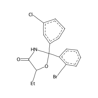 CCC1OC(c2cccc(Cl)c2)(c2ccccc2Br)NC1=O